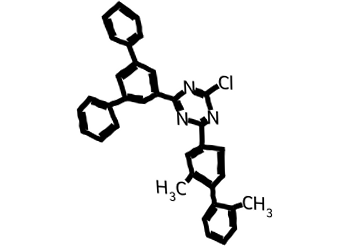 Cc1ccccc1-c1ccc(-c2nc(Cl)nc(-c3cc(-c4ccccc4)cc(-c4ccccc4)c3)n2)cc1C